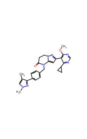 COc1ncnc(C2CC2)c1-c1cc2n(n1)CCC(=O)N2Cc1ccc(-c2nn(C)cc2C)cc1